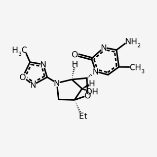 CC[C@@]12CN(c3noc(C)n3)[C@@H]([C@H](n3cc(C)c(N)nc3=O)O1)[C@@H]2O